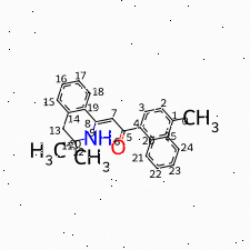 Cc1ccc(C(=O)C=C2NC(C)(C)Cc3ccccc32)c2ccccc12